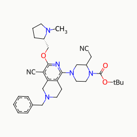 CN1CCC[C@H]1COc1nc(N2CCN(C(=O)OC(C)(C)C)C(CC#N)C2)c2c(c1C#N)CN(Cc1ccccc1)CC2